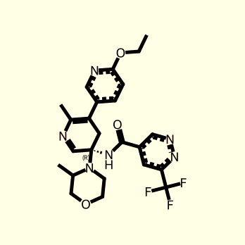 CCOc1ccc(C2=C(C)N=C[C@](NC(=O)c3cnnc(C(F)(F)F)c3)(N3CCOCC3C)C2)cn1